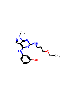 CCOCCCNc1nc(Nc2cccc(O)c2)c2cnn(C)c2n1